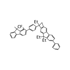 CCC1(c2ccc(-c3ccc4c(c3)C(C)(C(F)(F)F)c3ccccc3-4)cc2)Cc2cc3c(cc21)C(CC)(CC)c1cc(-c2ccccc2)ccc1-3